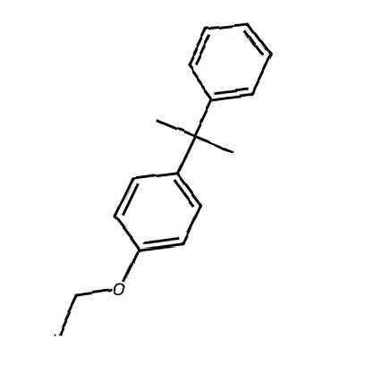 [CH2]COc1ccc(C(C)(C)c2ccccc2)cc1